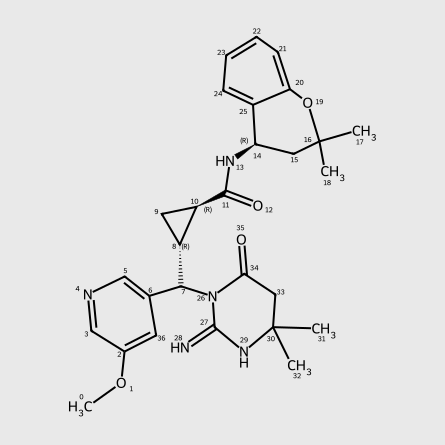 COc1cncc(C([C@@H]2C[C@H]2C(=O)N[C@@H]2CC(C)(C)Oc3ccccc32)N2C(=N)NC(C)(C)CC2=O)c1